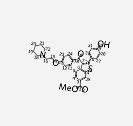 COC(=O)c1ccc2c(C(=O)c3ccc(OCCN4CCCCC4)cc3)c(-c3ccc(O)cc3)sc2c1